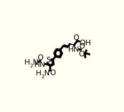 CC(C)(C)OC(=O)N[C@@H](CC=Cc1ccc(-c2cc(C(N)=O)c(NC(N)=O)s2)cc1)C(=O)O